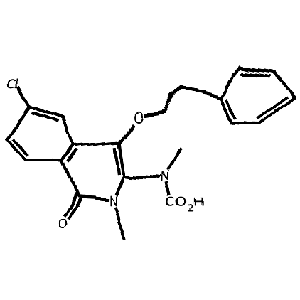 CN(C(=O)O)c1c(OCCc2ccccc2)c2cc(Cl)ccc2c(=O)n1C